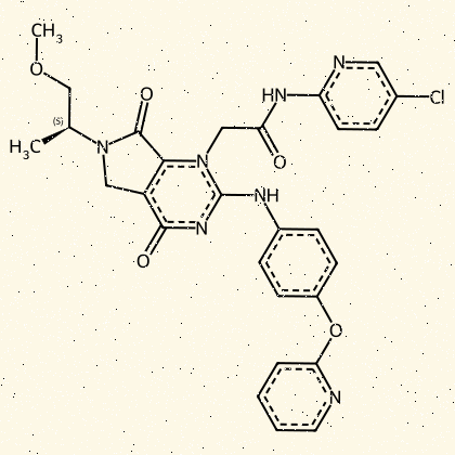 COC[C@H](C)N1Cc2c(n(CC(=O)Nc3ccc(Cl)cn3)c(Nc3ccc(Oc4ccccn4)cc3)nc2=O)C1=O